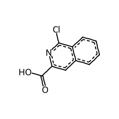 O=C(O)c1cc2ccccc2c(Cl)n1